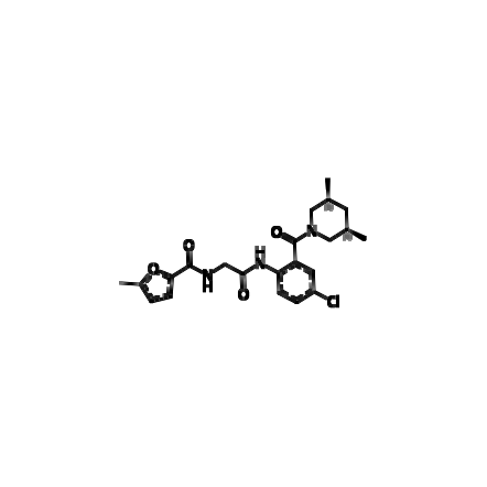 Cc1ccc(C(=O)NCC(=O)Nc2ccc(Cl)cc2C(=O)N2C[C@H](C)C[C@H](C)C2)o1